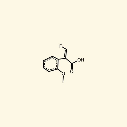 COc1ccccc1/C(=C\F)C(=O)O